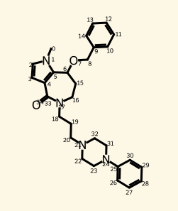 Cn1ccc2c1C(OCc1ccccc1)CCN(CCCN1CCN(c3ccccc3)CC1)C2=O